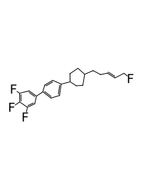 FC/C=C/CCC1CCC(c2ccc(-c3cc(F)c(F)c(F)c3)cc2)CC1